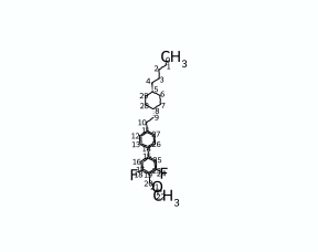 CCCCC[C@H]1CC[C@H](CCc2ccc(-c3cc(F)c(COC)c(F)c3)cc2)CC1